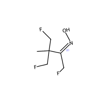 CC(CF)(CF)/C(CF)=N\O